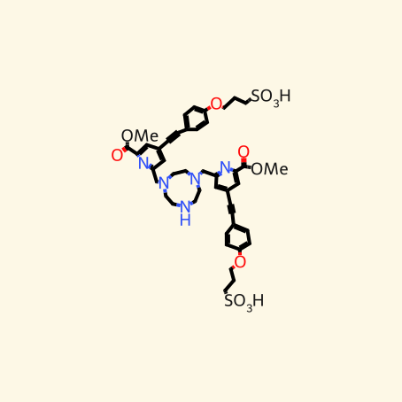 COC(=O)c1cc(C#Cc2ccc(OCCCS(=O)(=O)O)cc2)cc(CN2CCNCCN(Cc3cc(C#Cc4ccc(OCCCS(=O)(=O)O)cc4)cc(C(=O)OC)n3)CC2)n1